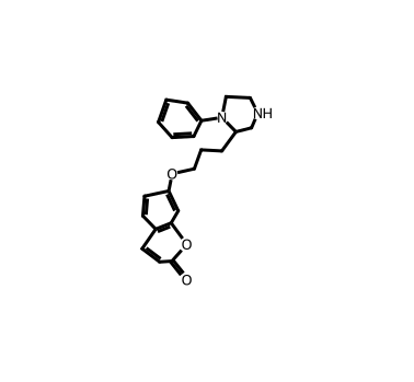 O=c1ccc2ccc(OCCCC3CNCCN3c3ccccc3)cc2o1